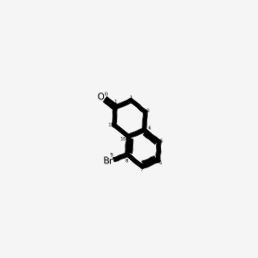 O=C1CCc2cccc(Br)c2C1